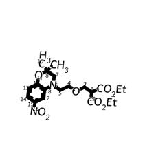 CCOC(=O)C(COCCN1CC(C)(C)Oc2ccc([N+](=O)[O-])cc21)C(=O)OCC